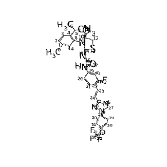 Cc1ccc(C(C)C)c(N2C(=O)CSC2=NC(=O)Nc2ccc(C=Cc3ncn(-c4ccc(OC(F)(F)F)cc4)n3)c(F)c2)c1